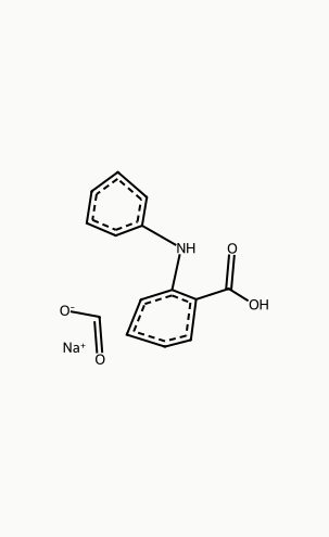 O=C(O)c1ccccc1Nc1ccccc1.O=C[O-].[Na+]